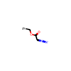 CC(C)COC(=O)C=[N+]=[N-]